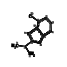 CC(N)c1cc2cccc(Cl)c2s1